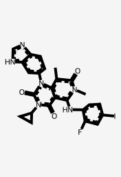 Cc1c(=O)n(C)c(Nc2ccc(I)cc2F)c2c(=O)n(C3CC3)c(=O)n(-c3ccc4nc[nH]c4c3)c12